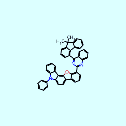 CC1(C)c2ccccc2-c2c(-c3nc(-c4cccc5c4oc4c5ccc5c4c4ccccc4n5-c4ccccc4)nc4ccccc34)cccc21